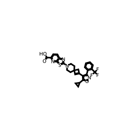 O=C(O)c1ccc2nc(N3CCC4(C=C(c5c(-c6ccccc6C(F)(F)F)noc5C5CC5)C4)CC3)sc2n1